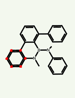 CN(B(c1c(-c2ccccc2)cccc1-c1ccccc1)N(C)c1ccccc1)c1ccccc1